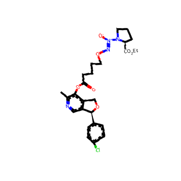 CCOC(=O)[C@@H]1CCCN1/[N+]([O-])=N/OCCCCC(=O)Oc1c(C)ncc2c1CO[C@H]2c1ccc(Cl)cc1